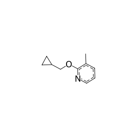 Cc1cccnc1OCC1CC1